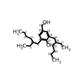 CCCCC(CC)Cc1cc(CO)cc(CC(CC)CCCC)c1O